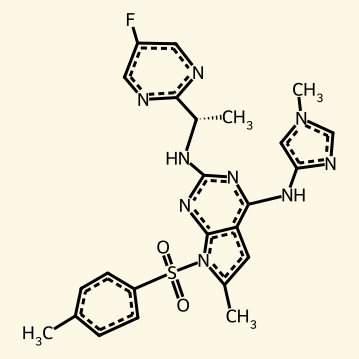 Cc1ccc(S(=O)(=O)n2c(C)cc3c(Nc4cn(C)cn4)nc(N[C@@H](C)c4ncc(F)cn4)nc32)cc1